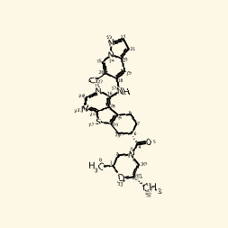 C[C@H]1CN(C(=O)[C@H]2CCc3c(sc4ncnc(Nc5cc6ccnn6cc5Cl)c34)C2)C[C@H](C)O1